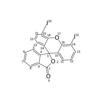 O=C1OC2(c3ccccc31)c1cccc(I)c1Oc1c(I)cccc12